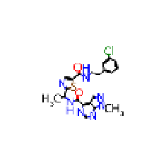 CC(NC(=O)c1ncnc2c1cnn2C)c1ncc(C(=O)NCCc2cccc(Cl)c2)s1